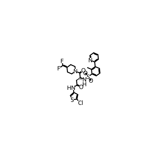 Cc1c(-c2ccccn2)cccc1S(=O)(=O)N[C@@H](CC(=O)Nc1csc(Cl)c1)C(=O)N1CCC(=C(F)F)CC1